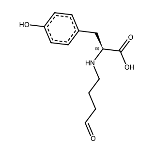 O=CCCCN[C@@H](Cc1ccc(O)cc1)C(=O)O